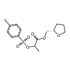 CC(OS(=O)(=O)c1ccc(I)cc1)C(=O)OC[C@@H]1CCCO1